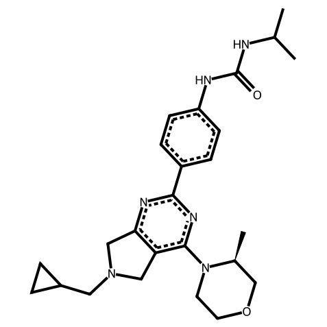 CC(C)NC(=O)Nc1ccc(-c2nc3c(c(N4CCOC[C@@H]4C)n2)CN(CC2CC2)C3)cc1